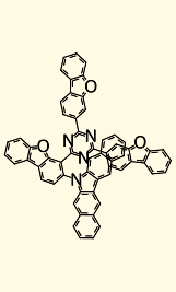 c1ccc2cc3c(cc2c1)c1cc2ccccc2cc1n3-c1ccc2c(oc3ccccc32)c1-c1nc(-c2ccc3c(c2)oc2ccccc23)nc(-c2ccc3c(c2)oc2ccccc23)n1